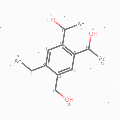 CC(=O)Cc1cc(C(O)C(C)=O)c(C(O)C(C)=O)cc1CO